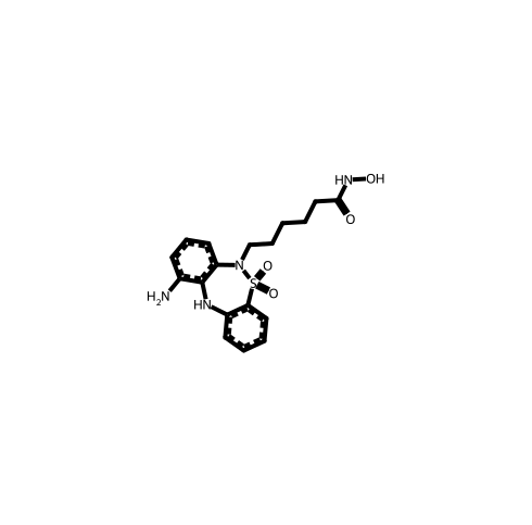 Nc1cccc2c1Nc1ccccc1S(=O)(=O)N2CCCCCC(=O)NO